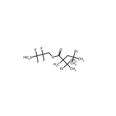 CCC(C)(C)CC(C)(C(=O)OCC(F)(F)C(F)(F)S(=O)(=O)O)C(C)(C)CC